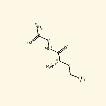 CCC[C@H](N)C(=O)NCC(N)=O